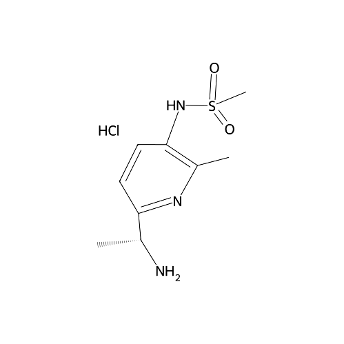 Cc1nc([C@@H](C)N)ccc1NS(C)(=O)=O.Cl